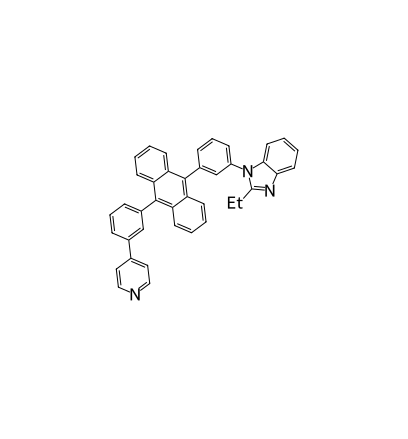 CCc1nc2ccccc2n1-c1cccc(-c2c3ccccc3c(-c3cccc(-c4ccncc4)c3)c3ccccc23)c1